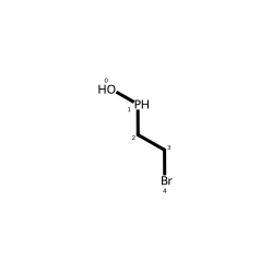 OPCCBr